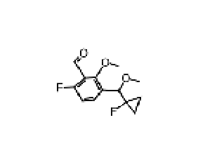 COc1c(C(OC)C2(F)CC2)ccc(F)c1C=O